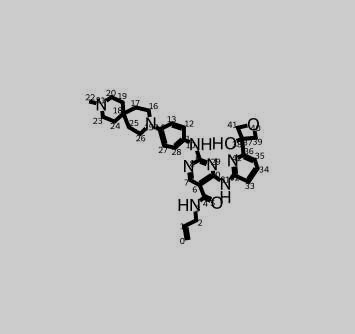 C=CCNC(=O)c1cnc(Nc2ccc(N3CCC4(CCN(C)CC4)CC3)cc2)nc1Nc1cccc(C2(O)COC2)n1